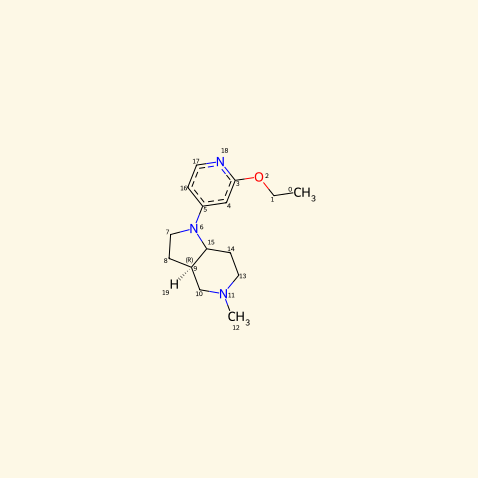 CCOc1cc(N2CC[C@@H]3CN(C)CCC32)ccn1